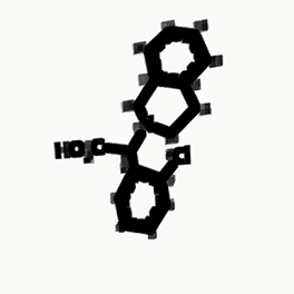 O=C(O)C(c1ccccc1Cl)N1CCc2ccccc2C1